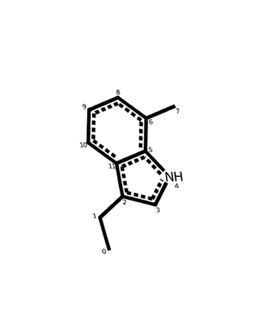 CCc1c[nH]c2c(C)cccc12